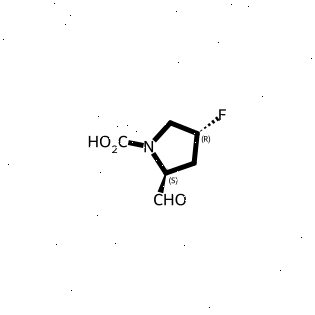 O=C[C@@H]1C[C@@H](F)CN1C(=O)O